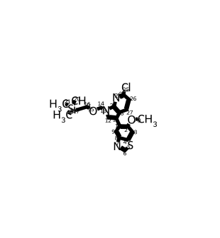 COc1cc2scnc2cc1-c1cn(COCC[Si](C)(C)C)c2nc(Cl)ccc12